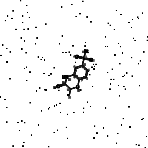 CCS(=O)(=O)c1ccc2c(c1)NC(=O)C(C)O2